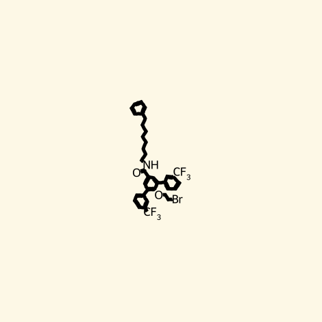 O=C(NCCCCCCCCc1ccccc1)c1cc(-c2cccc(C(F)(F)F)c2)c(OCCBr)c(-c2cccc(C(F)(F)F)c2)c1